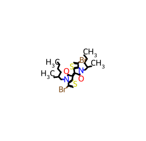 CCCCC(CC)CN1C(=O)C(=C2C(=O)N(CC(CC)CCCC)c3c(Br)csc32)c2scc(Br)c21